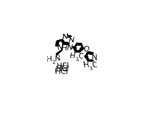 Cc1ccc(Oc2ccc(Nc3ncnc4ccn(CCN)c34)cc2C)cn1.Cl.Cl.Cl